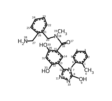 Cc1ccccc1-n1c(O)nnc1-c1cc(C(=O)N(C)Cc2ccccc2CN)c(O)cc1O